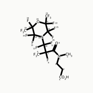 CN(CCC(=O)O)C(=O)C(F)(C(F)(F)F)C(F)(F)N1C(F)(F)C(F)(C(F)(F)F)OC(F)(C(F)(F)F)C1(F)F